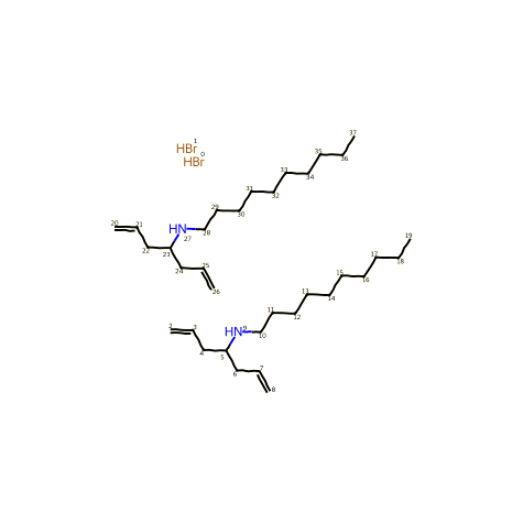 Br.Br.C=CCC(CC=C)NCCCCCCCCCC.C=CCC(CC=C)NCCCCCCCCCC